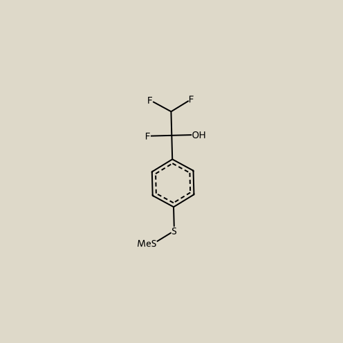 CSSc1ccc(C(O)(F)C(F)F)cc1